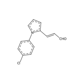 O=C/C=C/c1cccn1-c1ccc(Cl)cc1